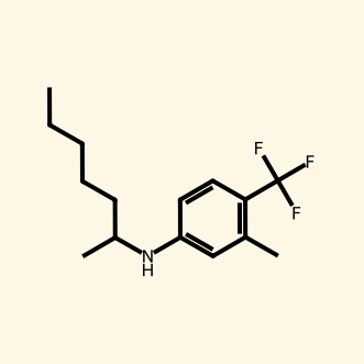 CCCCCC(C)Nc1ccc(C(F)(F)F)c(C)c1